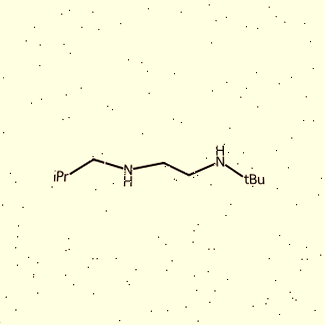 CC(C)CNCCNC(C)(C)C